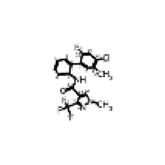 Cc1cc(-c2ccccc2NC(=O)c2cn(C)nc2C(F)(F)F)c(F)cc1Cl